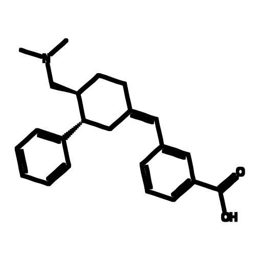 CN(C)C[C@H]1CC/C(=C/c2cccc(C(=O)O)c2)C[C@@H]1c1ccccc1